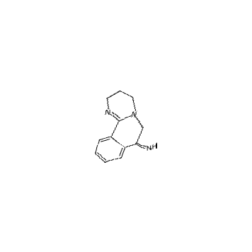 N=C1CN2CCCN=C2c2ccccc21